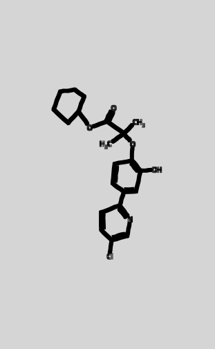 CC(C)(Oc1ccc(-c2ccc(Cl)cn2)cc1O)C(=O)OC1CCCCC1